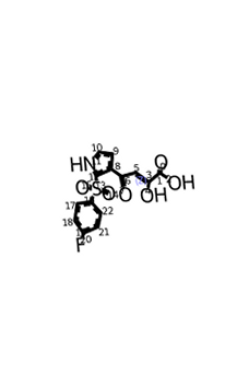 O=C(O)/C(O)=C/C(=O)c1cc[nH]c1S(=O)(=O)c1ccc(F)cc1